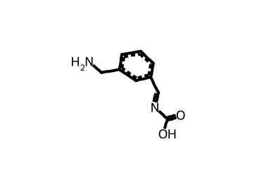 NCc1cccc(C=NC(=O)O)c1